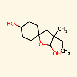 CCC1(C)CC2(CCC(O)CC2)OC1O